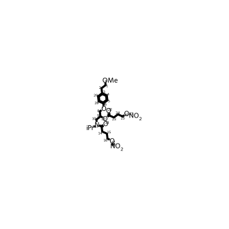 COCCc1ccc(OCC(CN(C(=O)CCCO[N+](=O)[O-])C(C)C)OC(=O)CCCO[N+](=O)[O-])cc1